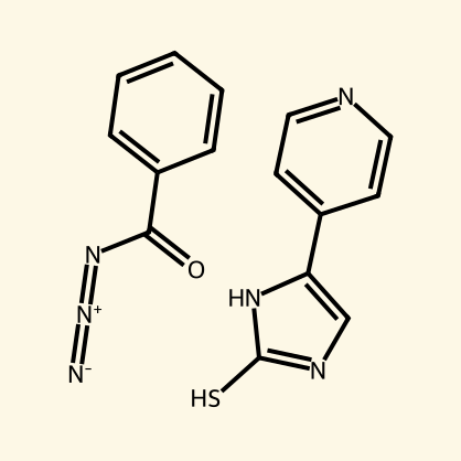 Sc1ncc(-c2ccncc2)[nH]1.[N-]=[N+]=NC(=O)c1ccccc1